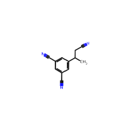 CC(CC#N)c1cc(C#N)cc(C#N)c1